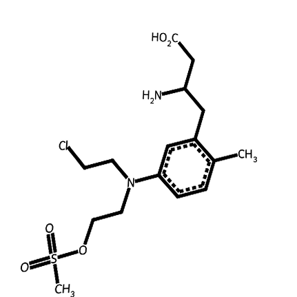 Cc1ccc(N(CCCl)CCOS(C)(=O)=O)cc1CC(N)CC(=O)O